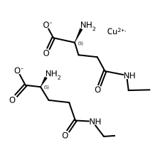 CCNC(=O)CC[C@H](N)C(=O)[O-].CCNC(=O)CC[C@H](N)C(=O)[O-].[Cu+2]